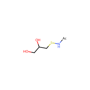 CC(=O)NSCC(O)CO